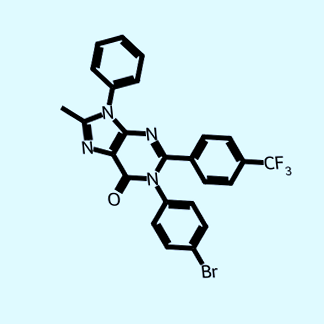 Cc1nc2c(=O)n(-c3ccc(Br)cc3)c(-c3ccc(C(F)(F)F)cc3)nc2n1-c1ccccc1